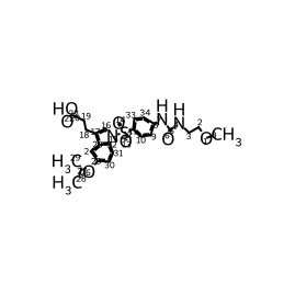 COCCNC(=O)Nc1ccc(S(=O)(=O)n2cc(CCC(=O)O)c3cc(OC(C)C)ccc32)cc1